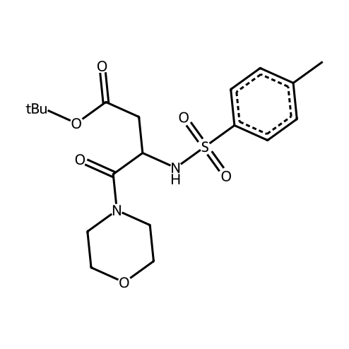 Cc1ccc(S(=O)(=O)NC(CC(=O)OC(C)(C)C)C(=O)N2CCOCC2)cc1